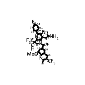 CCOc1c(CC(N)=O)cc([C@@](O)(CNC(=O)c2cc(OC)c3nc(C)c(C(F)(F)F)cc3c2)C(F)(F)F)nc1-c1ccc(F)cc1